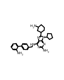 Nc1nc(NCc2ccc(-c3ccccc3N)cc2)c2nc(C3CCCC(N)C3)n(C3CCCC3)c2n1